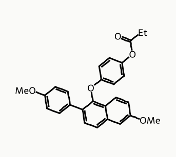 CCC(=O)Oc1ccc(Oc2c(-c3ccc(OC)cc3)ccc3cc(OC)ccc23)cc1